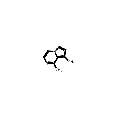 Cc1ccn2ccnc(C)c12